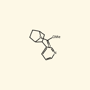 COC(=O)N1C2CCC1C(c1cccnc1)C2